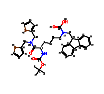 CC(C)(C)OC(=O)N[C@@H](CCCCN(CC1c2ccccc2-c2ccccc21)C(=O)O)C(=O)N(Cc1cccs1)Cc1cccs1